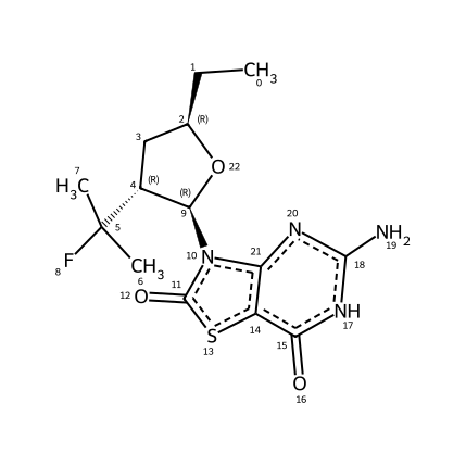 CC[C@@H]1C[C@@H](C(C)(C)F)[C@H](n2c(=O)sc3c(=O)[nH]c(N)nc32)O1